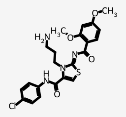 COc1ccc(C(=O)/N=c2\scc(C(=O)Nc3ccc(Cl)cc3)n2CCCN)c(OC)c1